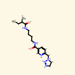 CC(C)(C)CC(C(=O)NCCCCNC(=O)c1ccc(CN2CCN=N2)nc1)C(C)(C)C